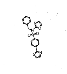 O=S(=O)(c1ccc(-c2nccs2)cc1)N(Cc1ccccc1)c1ncco1